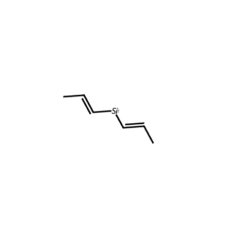 CC=C[Si]C=CC